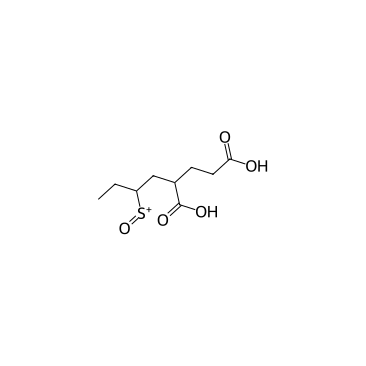 CCC(CC(CCC(=O)O)C(=O)O)[S+]=O